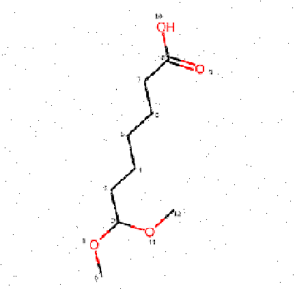 COC(CCCCCC(=O)O)OC